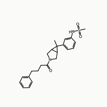 CC1(c2cccc(NS(C)(=O)=O)c2)C2CN(C(=O)CCCc3ccccc3)CC21